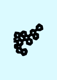 c1ccc(-c2ccc(-c3c4ccccc4c(-c4cc5c(oc6ccc7ccccc7c65)c5sc6ccccc6c45)c4ccccc34)c3ccccc23)cc1